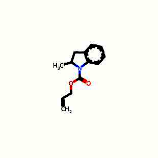 C=CCOC(=O)N1c2ccccc2CC1C